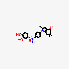 Cc1cc2c(n1-c1ccc(NS(=O)(=O)c3ccc(O)c(O)c3)cc1)CC(C)(C)CC2=O